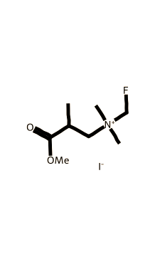 COC(=O)C(C)C[N+](C)(C)CF.[I-]